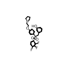 O=S(=O)(c1ccc(F)c(F)c1F)N(Cc1cccc(O)c1)c1ccc(OCCN2CCCC2)cc1